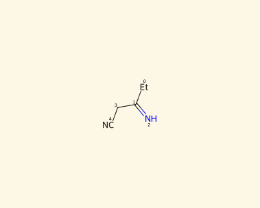 CCC(=N)CC#N